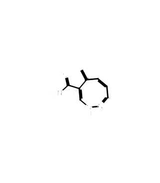 C=C1/C=C\C=N/N/C=C\1C(N)=O